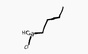 CCC[CH2][GaH][Cl]